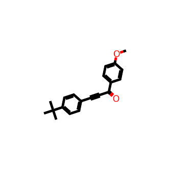 COc1ccc(C(=O)C#Cc2ccc(C(C)(C)C)cc2)cc1